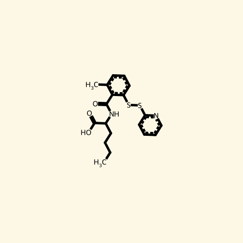 CCCCC(NC(=O)c1c(C)cccc1SSc1ccccn1)C(=O)O